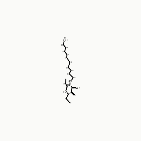 C=CC(=O)O.CCCOCCC.OCCCCCCCCCCO